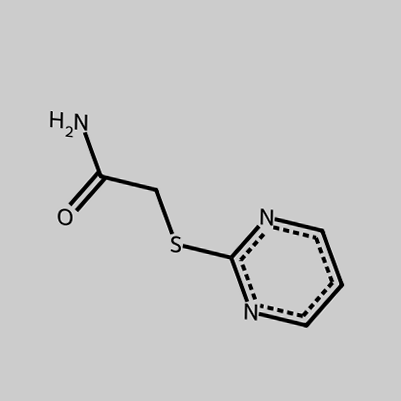 NC(=O)CSc1ncccn1